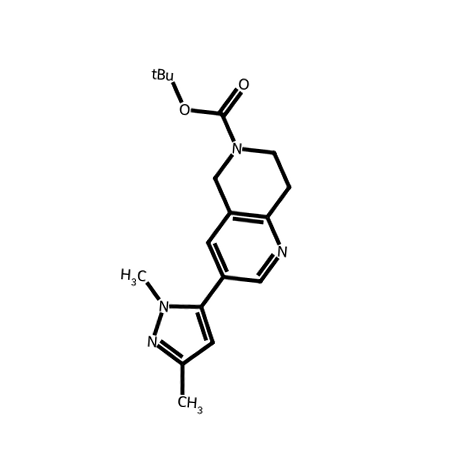 Cc1cc(-c2cnc3c(c2)CN(C(=O)OC(C)(C)C)CC3)n(C)n1